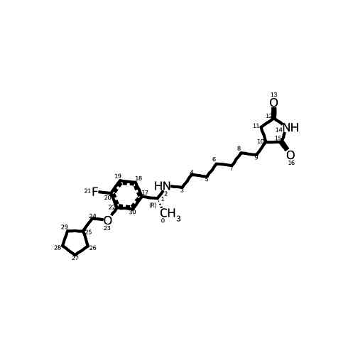 C[C@@H](NCCCCCCCC1CC(=O)NC1=O)c1ccc(F)c(OCC2CCCC2)c1